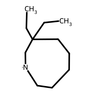 CCC1(CC)CCCCC[N]C1